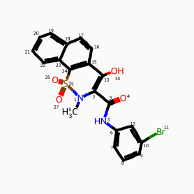 CN1C(C(=O)Nc2cccc(Br)c2)=C(O)c2ccc3ccccc3c2S1(=O)=O